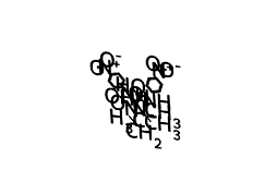 C=CCN(C(=O)Nc1ccc([N+](=O)[O-])cc1O)N(C(=O)Nc1ccc([N+](=O)[O-])cc1O)C(C)(C)C